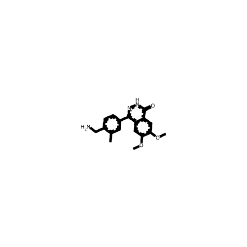 COc1cc2c(-c3ccc(CN)c(C)c3)n[nH]c(=O)c2cc1OC